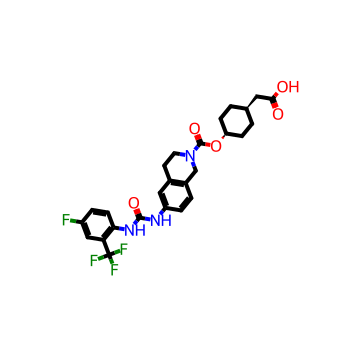 O=C(O)C[C@H]1CC[C@H](OC(=O)N2CCc3cc(NC(=O)Nc4ccc(F)cc4C(F)(F)F)ccc3C2)CC1